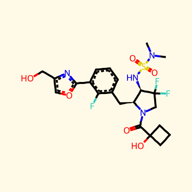 CN(C)S(=O)(=O)N[C@@H]1[C@H](Cc2cccc(-c3nc(CO)co3)c2F)N(C(=O)C2(O)CCC2)CC1(F)F